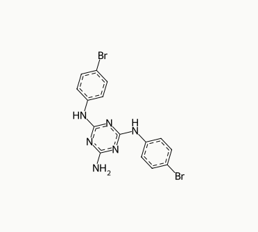 Nc1nc(Nc2ccc(Br)cc2)nc(Nc2ccc(Br)cc2)n1